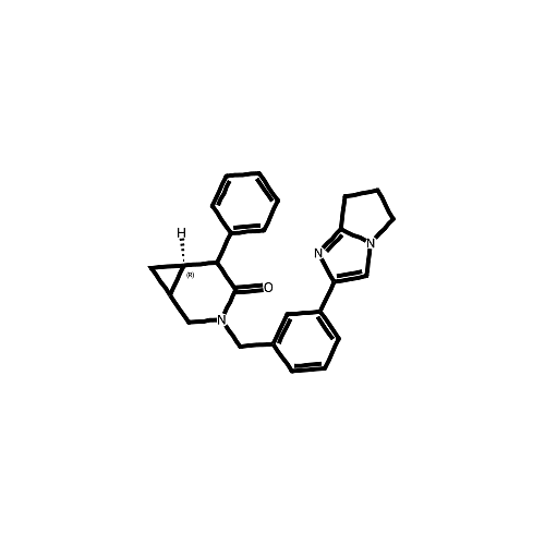 O=C1C(c2ccccc2)[C@@H]2CC2CN1Cc1cccc(-c2cn3c(n2)CCC3)c1